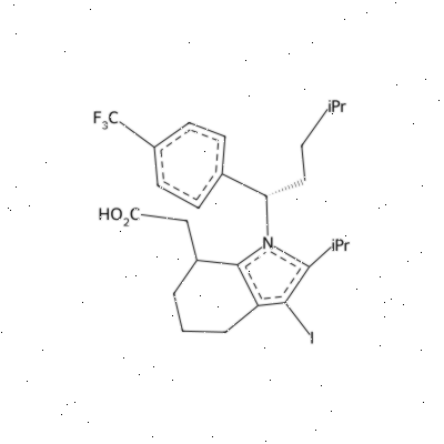 CC(C)CC[C@@H](c1ccc(C(F)(F)F)cc1)n1c(C(C)C)c(I)c2c1C(CC(=O)O)CCC2